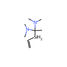 C=C[SiH2]C(C)(N(C)C)N(C)C